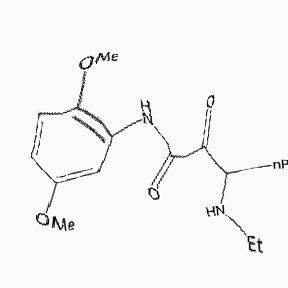 CCCC(NCC)C(=O)C(=O)Nc1cc(OC)ccc1OC